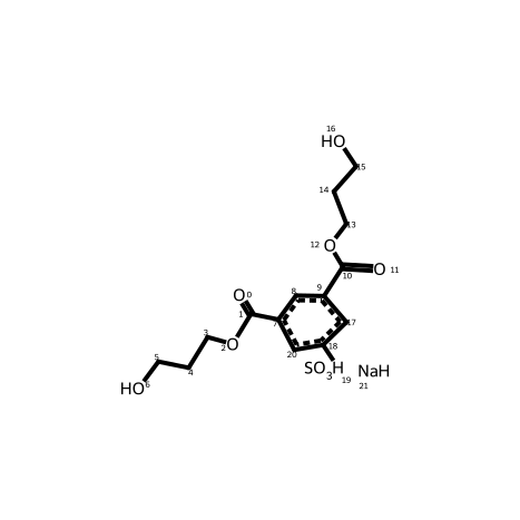 O=C(OCCCO)c1cc(C(=O)OCCCO)cc(S(=O)(=O)O)c1.[NaH]